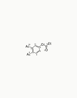 CCC(=O)Oc1ccc(C(C)=O)c(C(C)=O)c1